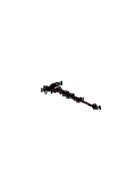 CC(=O)[C@H](CO)CC(=O)[C@H](CCCCNC(=O)COCCOCCNC(=O)COCCOCCNC(=O)COCCOCCNC(=O)CCCCCCCCCCCCCCCCC(=O)O)CC(=O)[C@@H](N)Cc1cnc[nH]1